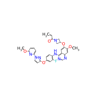 C=CC(=O)N1CC(Oc2cc3c(Nc4ccc(Oc5ccn(-c6cccc(OC)n6)n5)cc4F)ncnc3cc2OC)C1